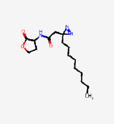 CCCCCCCCCC1(CC(=O)NC2CCOC2=O)N=N1